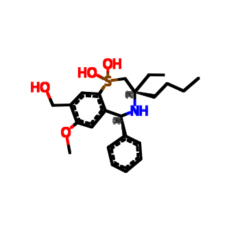 CCCC[C@]1(CC)CS(O)(O)c2cc(CO)c(OC)cc2[C@H](c2ccccc2)N1